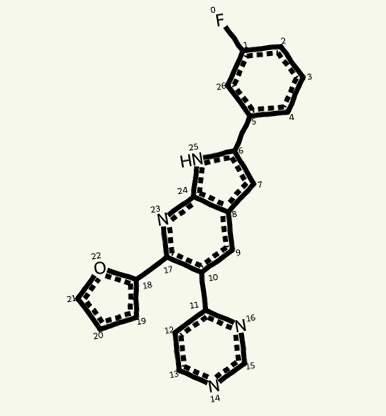 Fc1cccc(-c2cc3cc(-c4ccncn4)c(-c4ccco4)nc3[nH]2)c1